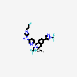 C[C@H]1Cc2cc(-c3cnn(C(F)F)c3)ccc2[C@@H](c2ccc(NC3CN(CCCF)C3)cn2)N1CC(F)(F)F